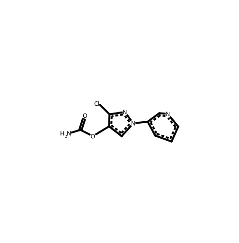 NC(=O)Oc1cn(-c2cccnc2)nc1Cl